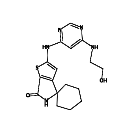 O=C1NC2(CCCCC2)c2cc(Nc3cc(NCCO)ncn3)sc21